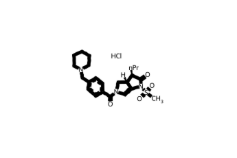 CCC[C@H]1C(=O)N(S(C)(=O)=O)C2=CN(C(=O)c3ccc(CN4CCCCC4)cc3)C[C@@H]21.Cl